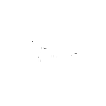 C[C@H]1CC[C@H]2[C@@H]3CC[C@@H]4C[C@H](O)CC[C@]4(C)[C@H]3CC[C@@]12C